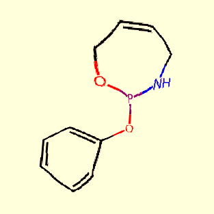 C1=CCOP(Oc2ccccc2)NC1